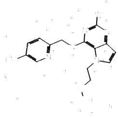 COCCn1ccc2nc(C)nc(NCc3ccc(C)cn3)c21